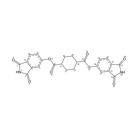 O=C1NC(=O)c2cc(OC(=O)C3CCC(C(=O)Oc4ccc5c(c4)C(=O)NC5=O)CC3)ccc21